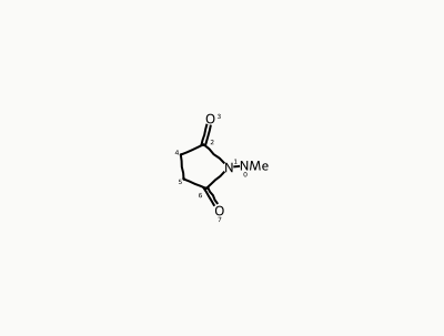 CNN1C(=O)CCC1=O